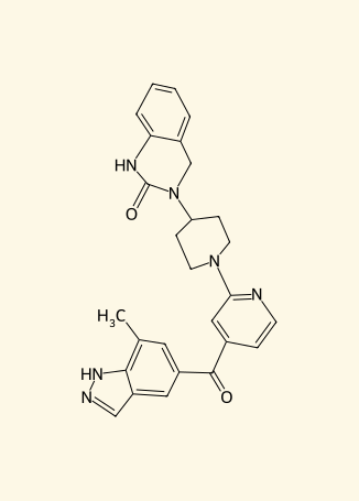 Cc1cc(C(=O)c2ccnc(N3CCC(N4Cc5ccccc5NC4=O)CC3)c2)cc2cn[nH]c12